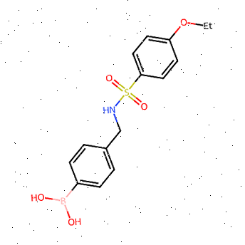 CCOc1ccc(S(=O)(=O)NCc2ccc(B(O)O)cc2)cc1